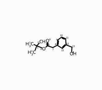 CC(C)(C)OC(=O)Cc1cccc(CO)c1